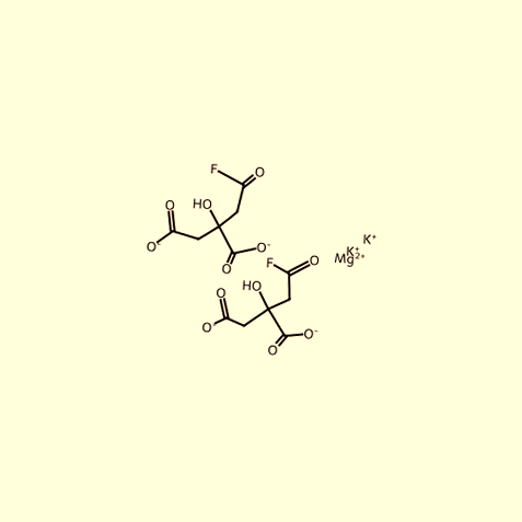 O=C([O-])CC(O)(CC(=O)F)C(=O)[O-].O=C([O-])CC(O)(CC(=O)F)C(=O)[O-].[K+].[K+].[Mg+2]